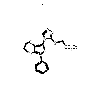 CCOC(=O)CSc1nncn1-c1sc(-c2ccccc2)c2c1OCCO2